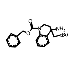 CC(C)(C)CC1(N)CCN(C(=O)OCc2ccccc2)c2ccccc21